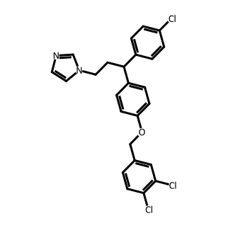 Clc1ccc(C(CCn2ccnc2)c2ccc(OCc3ccc(Cl)c(Cl)c3)cc2)cc1